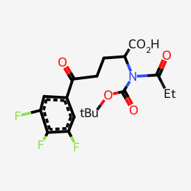 CCC(=O)N(C(=O)OC(C)(C)C)C(CCC(=O)c1cc(F)c(F)c(F)c1)C(=O)O